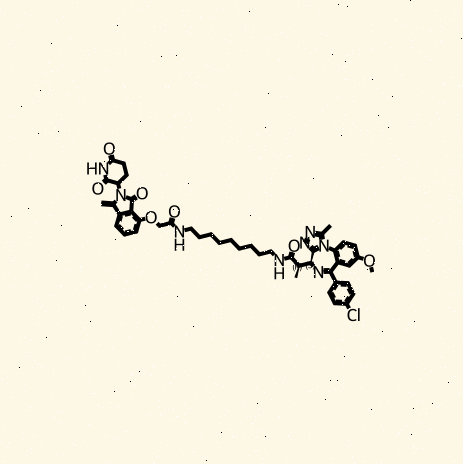 C=C1c2cccc(OCC(=O)NCCCCCCCCCNC(=O)[C@H](C)[C@@H]3N=C(c4ccc(Cl)cc4)c4cc(OC)ccc4-n4c(C)nnc43)c2C(=O)N1C1CCC(=O)NC1=O